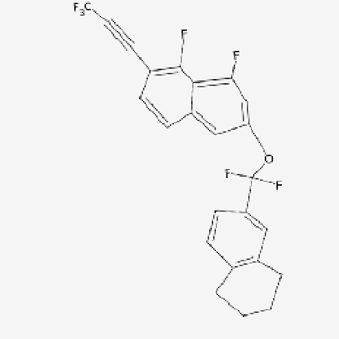 Fc1cc(OC(F)(F)c2ccc3c(c2)CCCC3)cc2ccc(C#CC(F)(F)F)c(F)c12